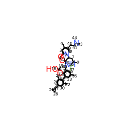 Cc1cc(=O)n(C(CC(C)C)C(=O)N[C@@H](CC(=O)O)c2cc(-c3c(C)cc(C4CC4)cc3C)cc(C)c2F)cc1CCN(C)C